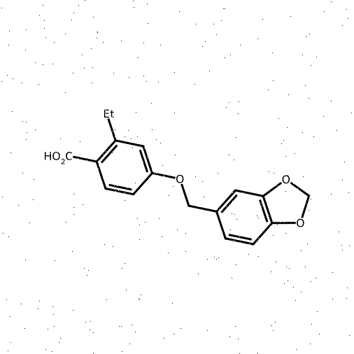 CCc1cc(OCc2ccc3c(c2)OCO3)ccc1C(=O)O